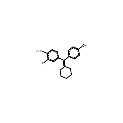 O=Cc1ccc(C(=C2CCCCC2)c2ccc(O)cc2)cc1F